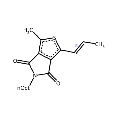 C/C=C/c1sc(C)c2c1C(=O)N(CCCCCCCC)C2=O